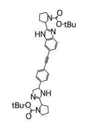 CC(C)(C)OC(=O)N1CCCC1C1=NCC(c2ccc(C#Cc3ccc4nc(C5CCCN5C(=O)OC(C)(C)C)[nH]c4c3)cc2)N1